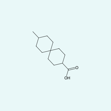 CC1CCC2(CC1)CCC(C(=O)O)CC2